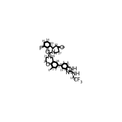 Cc1cc(-c2ccc3[nH]c(NCC(F)(F)F)nc3c2)cc2c1OCCN(C(=O)N1CCC(=O)CC1c1cccc(F)c1)C2